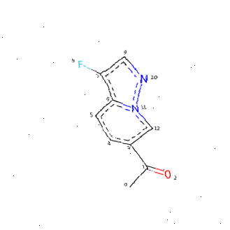 CC(=O)c1ccc2c(F)cnn2c1